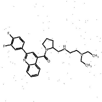 CCN(CC)CCNCC1CCCN1C(=O)c1cc(-c2ccc(F)c(F)c2)nc2ccccc12